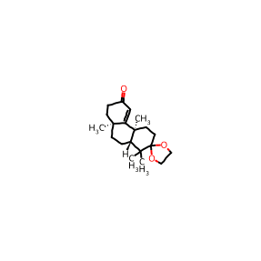 CC1(C)[C@@H]2CC[C@@]3(C)CCC(=O)C=C3[C@@]2(C)CCC12OCCO2